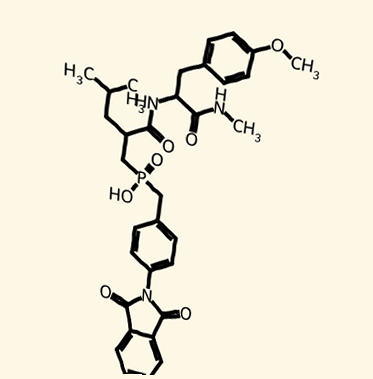 CNC(=O)C(Cc1ccc(OC)cc1)NC(=O)C(CC(C)C)CP(=O)(O)Cc1ccc(N2C(=O)c3ccccc3C2=O)cc1